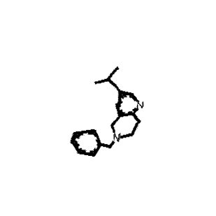 CC(C)c1cnc2c(c1)CN(Cc1ccccc1)CC2